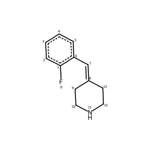 Fc1ccccc1C=C1CCNCC1